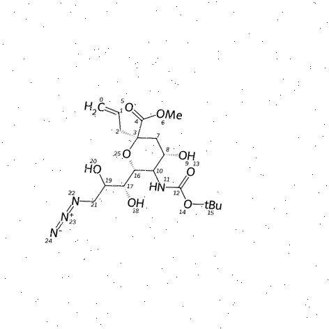 C=CC[C@]1(C(=O)OC)C[C@H](O)C(NC(=O)OC(C)(C)C)[C@H]([C@H](O)C(O)CN=[N+]=[N-])O1